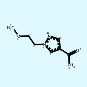 COCCn1cc(C(C)=O)cn1